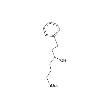 CCCCCCCCCCC[C](O)CCc1ccccc1